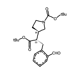 CC(C)(C)OC(=O)[C@@H](Cc1ccccc1C=O)[C@H]1CCN(C(=O)OC(C)(C)C)C1